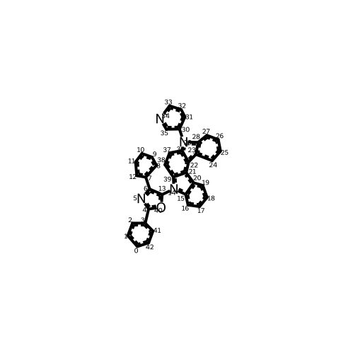 c1ccc(-c2nc(-c3ccccc3)c(-n3c4ccccc4c4c5c6ccccc6n(-c6cccnc6)c5ccc43)o2)cc1